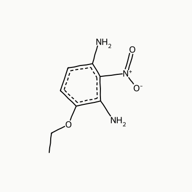 CCOc1ccc(N)c([N+](=O)[O-])c1N